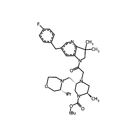 CC(C)[C@@H]1COCCN1C[C@H]1CN(C(=O)OC(C)(C)C)[C@H](C)CN1CC(=O)N1CC(C)(C)c2ncc(Cc3ccc(F)cc3)cc21